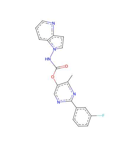 Cc1nc(-c2cccc(F)c2)ncc1OC(=O)Nn1ccc2ncccc21